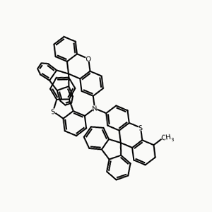 CC1CC=CC2=C1Sc1ccc(N(c3ccc4c(c3)C3(c5ccccc5O4)c4ccccc4-c4ccccc43)c3cccc4sc5ccccc5c34)cc1C21c2ccccc2-c2ccccc21